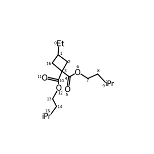 CCC1CC(C(=O)OCCC(C)C)(C(=O)OCCC(C)C)C1